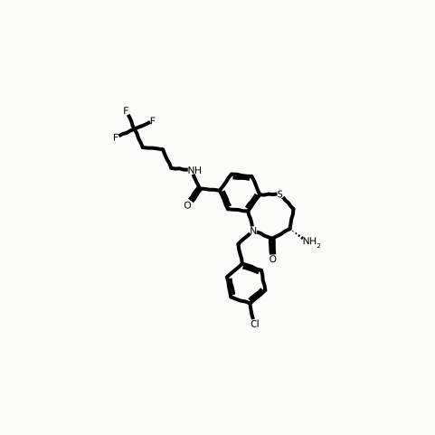 N[C@H]1CSc2ccc(C(=O)NCCCC(F)(F)F)cc2N(Cc2ccc(Cl)cc2)C1=O